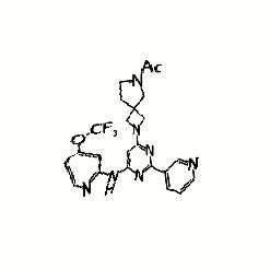 CC(=O)N1CCC2(C1)CN(c1cc(Nc3cc(OC(F)(F)F)ccn3)nc(-c3cccnc3)n1)C2